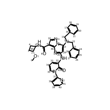 CO[C@@H]1CCC1NC(=O)c1cnn2c(N(Cc3ccccc3)Cc3ccccc3)cc(Nc3cccn(-c4ccccn4)c3=O)nc12